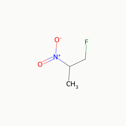 CC(CF)[N+](=O)[O-]